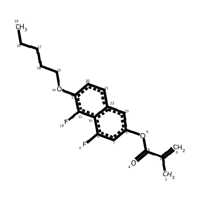 C=C(C)C(=O)Oc1cc(F)c2c(F)c(OCCCCC)ccc2c1